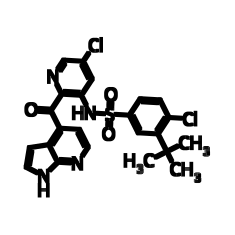 CC(C)(C)c1cc(S(=O)(=O)Nc2cc(Cl)cnc2C(=O)c2ccnc3[nH]ccc23)ccc1Cl